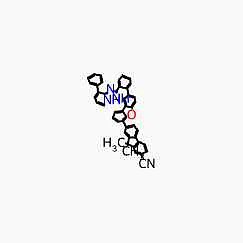 CC1(C)c2cc(C#N)ccc2-c2ccc(-c3cccc4c3oc3ccc(-c5ccccc5C(=N)/N=c5\[nH]cccc5-c5ccccc5)cc34)cc21